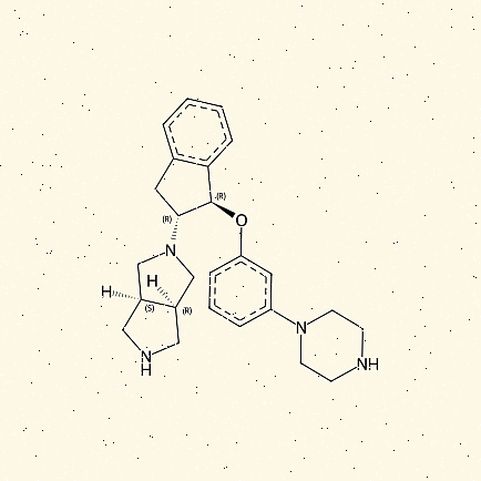 c1cc(O[C@@H]2c3ccccc3C[C@H]2N2C[C@H]3CNC[C@H]3C2)cc(N2CCNCC2)c1